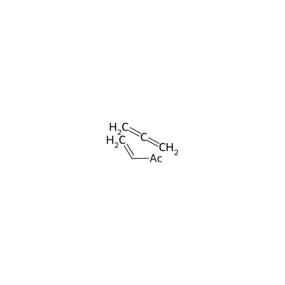 C=C=C.C=CC(C)=O